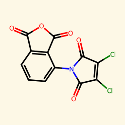 O=C1OC(=O)c2c1cccc2N1C(=O)C(Cl)=C(Cl)C1=O